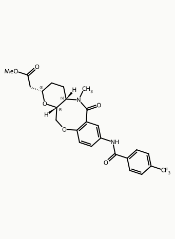 COC(=O)C[C@@H]1CC[C@H]2[C@H](COc3ccc(NC(=O)c4ccc(C(F)(F)F)cc4)cc3C(=O)N2C)O1